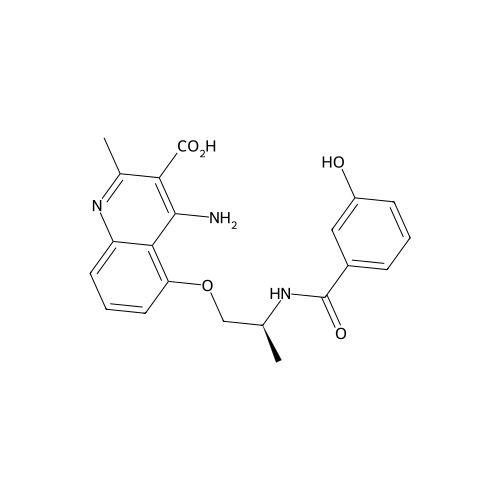 Cc1nc2cccc(OC[C@H](C)NC(=O)c3cccc(O)c3)c2c(N)c1C(=O)O